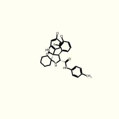 Cc1ccc(NC(=O)[C@@H]2NC3(CCCCC3)[C@@]3(C(=O)Nc4cc(Cl)ccc43)[C@H]2c2cccc(Cl)c2F)cc1